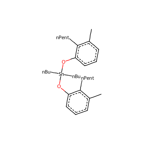 CCCCCc1c(C)cccc1[O][Sn]([CH2]CCC)([CH2]CCC)[O]c1cccc(C)c1CCCCC